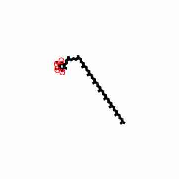 COC1=C(OC)C(=O)C(C/C=C(/C)CC/C=C(\C)CC/C=C(\C)CC/C=C(\C)CC/C=C(\C)CC/C=C(\C)CC/C=C(\C)CC/C=C(\C)CC/C=C(\C)CCC=C(C)C)=C(C)C1=O